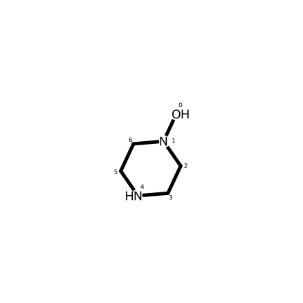 ON1CCNCC1